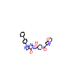 O=C(c1cc2n(n1)CCCO2)N1CCC(O)(Cn2cnc3c(cnn3-c3ccc(-c4ccccc4)cc3)c2=O)CC1